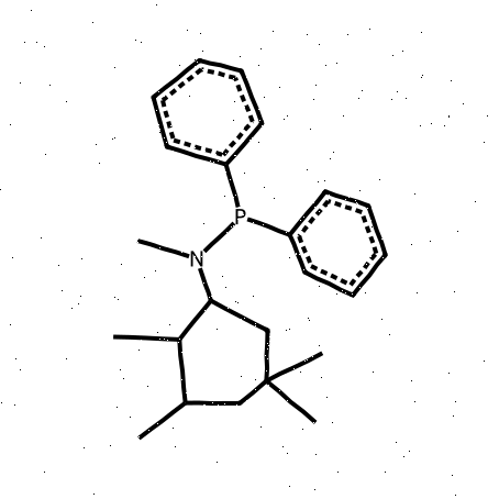 CC1CC(C)(C)CC(N(C)P(c2ccccc2)c2ccccc2)C1C